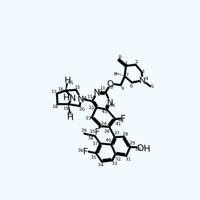 C=C1CCN(C)C[C@@]1(C)COc1nc(N2C[C@H]3CC[C@@H](C2)N3)c2cc(F)c(-c3cc(O)cc4ccc(F)c(CC)c34)c(F)c2n1